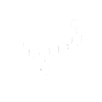 CN(C)c1ccc(C(c2ccc(NC(=O)c3cccc(C4CCCC4)c3)cc2)c2ccc(N(C)C)cc2)cc1